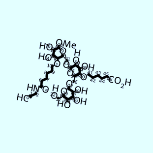 C#CCNC(=O)CCCCCO[C@H]1[C@H](O)[C@@H](O)[C@@H](OC)O[C@@H]1CO[C@H]1O[C@H](COC2O[C@H](CO)[C@@H](O)[C@H](O)[C@H]2O)[C@@H](OCCCCCC(=O)O)[C@H](O)[C@H]1O